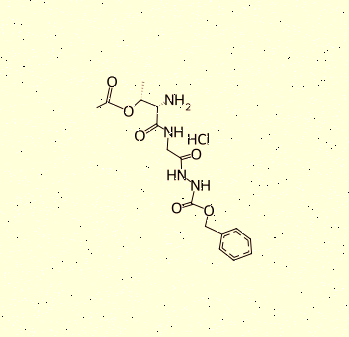 CC(=O)O[C@H](C)[C@H](N)C(=O)NCC(=O)NNC(=O)OCc1ccccc1.Cl